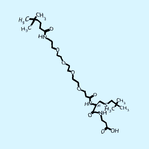 CC(C)(C)CCC(=O)NCCOCCOCCOCCOCCC(=O)N[C@@H](CSCC(C)(C)C)C(=O)NCCC(=O)O